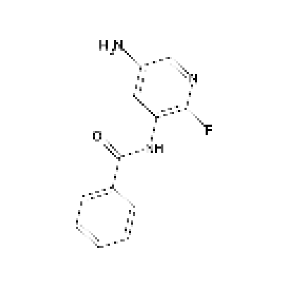 Nc1cnc(F)c(NC(=O)c2ccccc2)c1